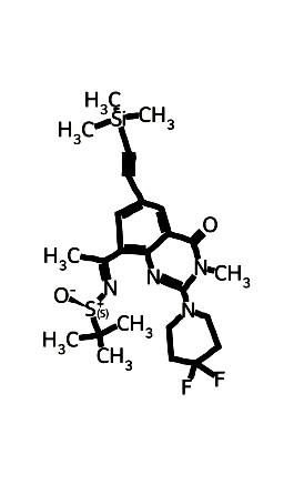 CC(=N[S@+]([O-])C(C)(C)C)c1cc(C#C[Si](C)(C)C)cc2c(=O)n(C)c(N3CCC(F)(F)CC3)nc12